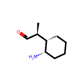 C[C@H](C=O)[C@@H]1CCCC[C@@H]1N